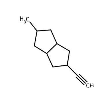 C#CC1CC2CC(C)CC2C1